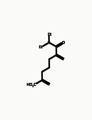 C=C(CCCC(=C)C(=O)N(CC)CC)C(=O)O